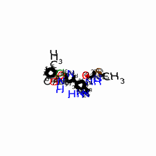 COC1C=CC(C)=CC1S(=O)(=O)Nc1cc(-c2cc(NC(=O)c3csc(C)n3)c3cn[nH]c3c2)cnc1Cl